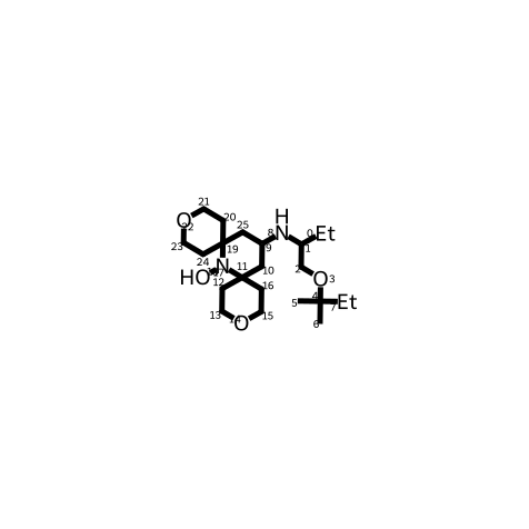 CCC(COC(C)(C)CC)NC1CC2(CCOCC2)N(O)C2(CCOCC2)C1